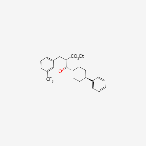 CCOC(=O)C(Cc1cccc(C(F)(F)F)c1)C(=O)[C@H]1CC[C@H](c2ccccc2)CC1